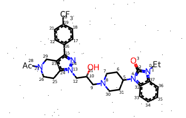 CCn1c(=O)n(C2CCN(CC(O)Cn3nc(-c4ccc(C(F)(F)F)cc4)c4c3CCN(C(C)=O)C4)CC2)c2ccccc21